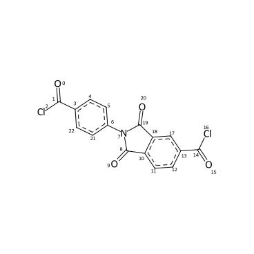 O=C(Cl)c1ccc(N2C(=O)c3ccc(C(=O)Cl)cc3C2=O)cc1